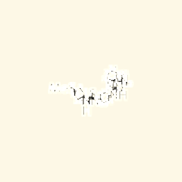 CSc1ccc(NC(=S)NC2CCC(Nc3nc4c(c(N(C)C)n3)CCCC4)CC2)cc1